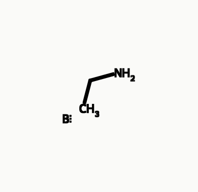 CCN.[B]